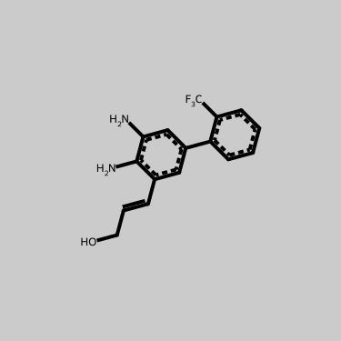 Nc1cc(-c2ccccc2C(F)(F)F)cc(C=CCO)c1N